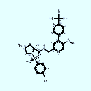 COc1cnc(CNC(=O)[C@]2(C)C[C@@H](F)CN2S(=O)(=O)c2ccc(F)cc2)cc1-c1ccc(C(F)(F)F)nc1